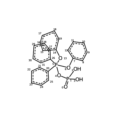 O=P(O)(O)OP(Oc1ccccc1)(Oc1ccccc1)(c1ccccc1)c1ccccc1